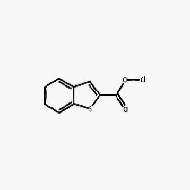 O=C(OCl)c1cc2ccccc2s1